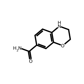 NC(=O)c1ccc2c(c1)OCCN2